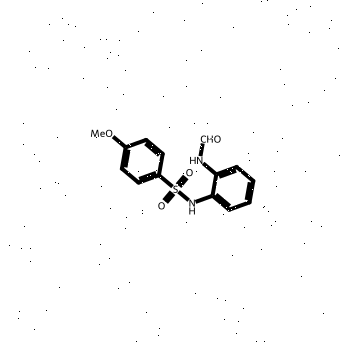 COc1ccc(S(=O)(=O)Nc2ccccc2NC=O)cc1